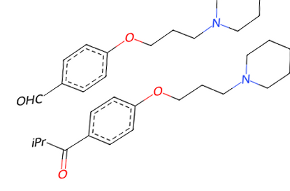 CC(C)C(=O)c1ccc(OCCCN2CCCCC2)cc1.O=Cc1ccc(OCCCN2CCCCC2)cc1